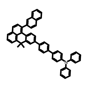 CC1(C)c2cc(-c3ccc(-c4ccc(N(c5ccccc5)c5ccccc5)cc4)cc3)ccc2-c2c(-c3ccc4ccccc4c3)ccc3cccc1c23